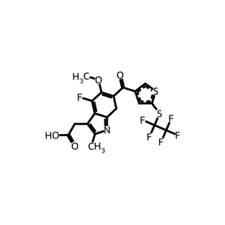 COC1=C(C(=O)c2csc(SC(F)(F)C(F)(F)F)c2)CC2=NC(C)=C(CC(=O)O)C2=C1F